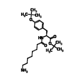 CC(C)(C)OC(=O)[C@H](Cc1ccc(OC(C)(C)C)cc1)NC(=O)CCCCCCCN